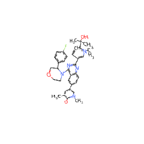 C=C/C(=C\N(C)CC(C)(C)O)c1nc(N2CCOCC2c2ccc(F)cc2)c2cc(-c3cc(C)c(=O)n(C)c3)ccc2n1